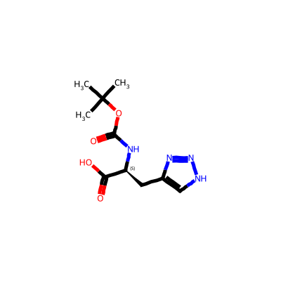 CC(C)(C)OC(=O)N[C@@H](Cc1c[nH]nn1)C(=O)O